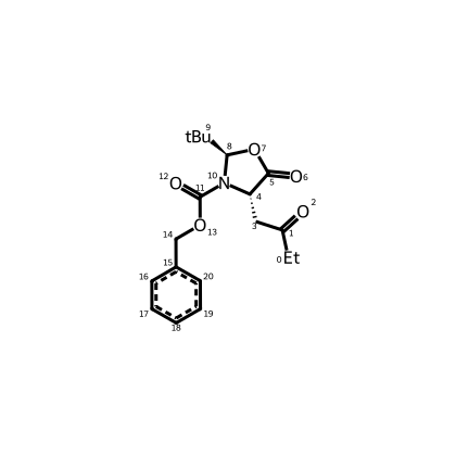 CCC(=O)C[C@H]1C(=O)O[C@H](C(C)(C)C)N1C(=O)OCc1ccccc1